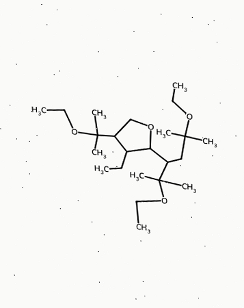 CCOC(C)(C)CC(C1OCC(C(C)(C)OCC)C1CC)C(C)(C)OCC